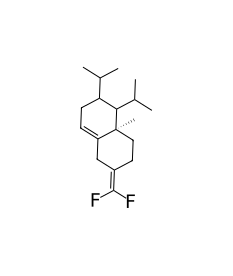 CC(C)C1CC=C2CC(=C(F)F)CC[C@]2(C)C1C(C)C